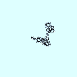 COC(=O)C(OCCCCOc1nc(-c2ccc(C#N)cc2)nc2ccccc12)c1ccccc1